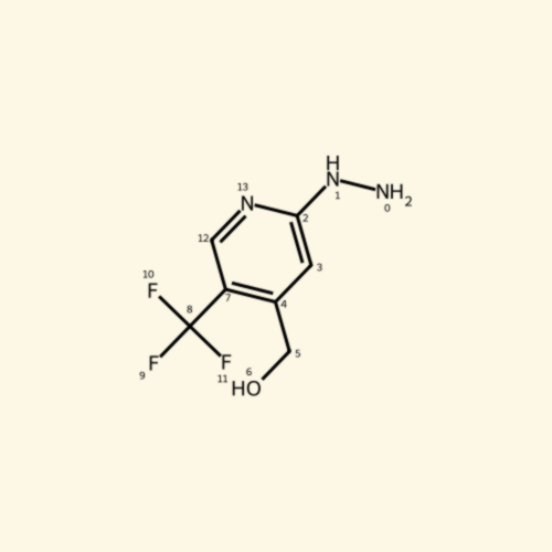 NNc1cc(CO)c(C(F)(F)F)cn1